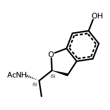 CC(=O)N[C@@H](C)[C@@H]1Cc2ccc(O)cc2O1